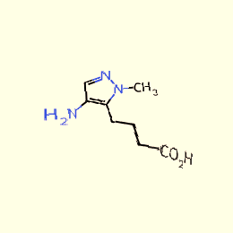 Cn1ncc(N)c1CCCC(=O)O